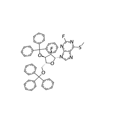 CSc1nc(F)nc2c1ncn2[C@@H]1O[C@H](COC(c2ccccc2)(c2ccccc2)c2ccccc2)[C@@H](OC(c2ccccc2)(c2ccccc2)c2ccccc2)[C@H]1F